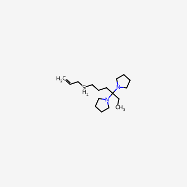 C=CC[SiH2]CCCC(CC)(N1CCCC1)N1CCCC1